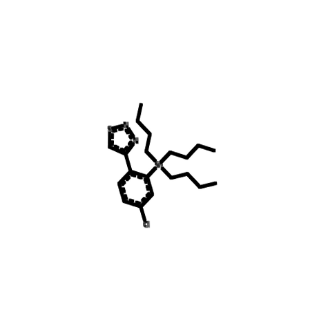 CCC[CH2][Sn]([CH2]CCC)([CH2]CCC)[c]1cc(Cl)ccc1-c1csnn1